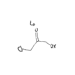 O=C(O)CCl.[La]